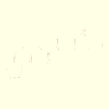 CC(C)(C)S(=O)(=O)NC1CCN(C(=O)Nc2ccc3c(c2)CCC3)CC1